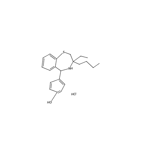 CCCCC1(CC)CSc2ccccc2C(c2ccc(O)cc2)N1.Cl